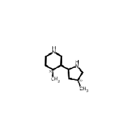 C[C@@H]1CNC(C2CNCC[C@@H]2C)C1